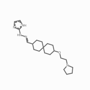 C(=NNc1ncc[nH]1)C1CCC2(CC1)CCC(OCCN1CCCC1)CC2